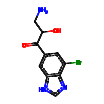 NCC(O)C(=O)c1cc(Br)c2nc[nH]c2c1